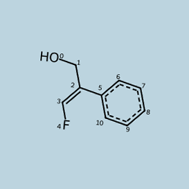 OC/C(=C/F)c1ccccc1